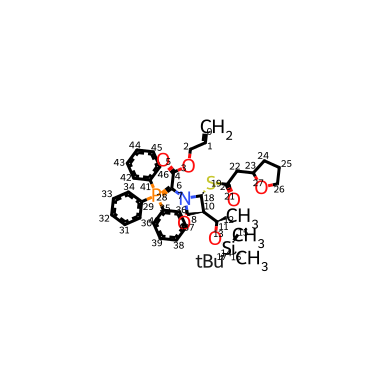 C=CCOC(=O)C(N1C(=O)[C@H]([C@@H](C)O[Si](C)(C)C(C)(C)C)[C@H]1SC(=O)CC1CCCO1)=P(c1ccccc1)(c1ccccc1)c1ccccc1